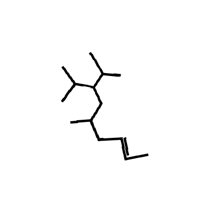 CC=CCC(C)CC(C(C)C)C(C)C